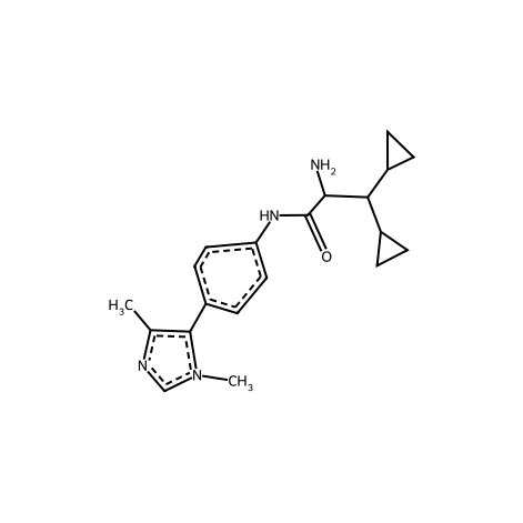 Cc1ncn(C)c1-c1ccc(NC(=O)C(N)C(C2CC2)C2CC2)cc1